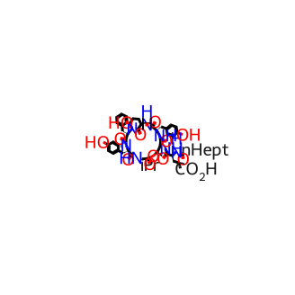 CCCCCCCC(=O)N[C@@H](CCC(=O)O)C(=O)N[C@@H]1C(=O)N[C@@H](Cc2ccc(O)cc2)C(=O)N[C@H]2CC[C@@H](O)N(C2=O)[C@@H](Cc2ccccc2)C(=O)N(C)[C@@H](Cc2ccc(O)cc2)C(=O)N[C@@H](C(C)C)C(=O)O[C@@H]1C